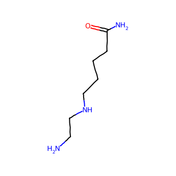 NCCNCCCCC(N)=O